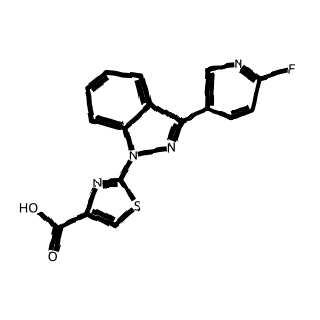 O=C(O)c1csc(-n2nc(-c3ccc(F)nc3)c3ccccc32)n1